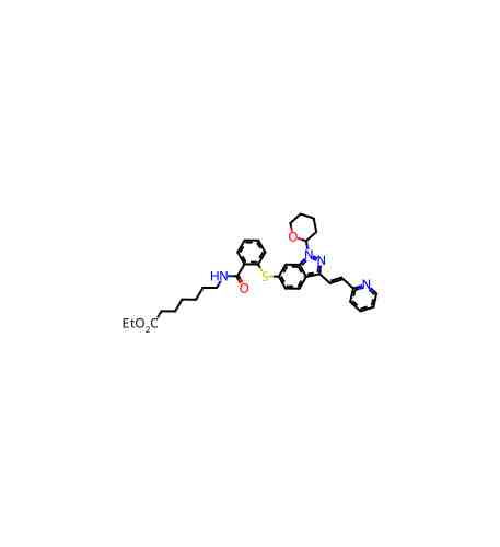 CCOC(=O)CCCCCCNC(=O)c1ccccc1Sc1ccc2c(/C=C/c3ccccn3)nn(C3CCCCO3)c2c1